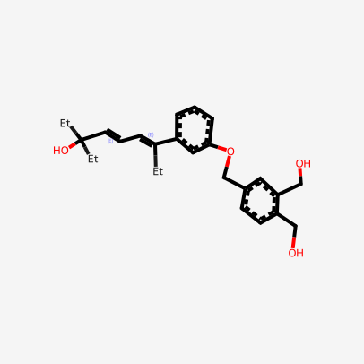 CC/C(=C\C=C\C(O)(CC)CC)c1cccc(OCc2ccc(CO)c(CO)c2)c1